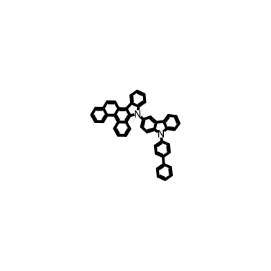 c1ccc(-c2ccc(-n3c4ccccc4c4cc(-n5c6ccccc6c6c7ccc8ccccc8c7c7ccccc7c65)ccc43)cc2)cc1